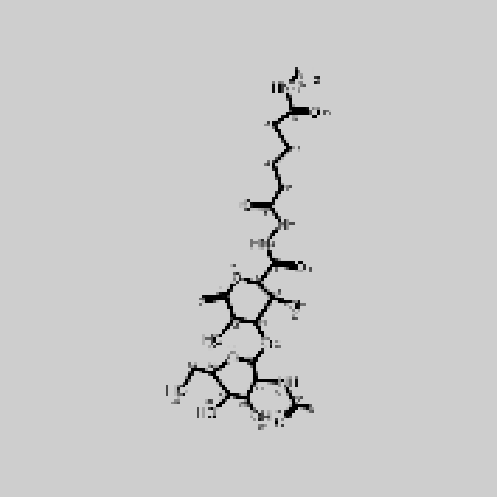 C=C1OC(C(=O)NNC(=O)CCCCC(=O)NN)C(O)C(OC2OC(CO)C(O)C(O)C2NC(C)=O)C1O